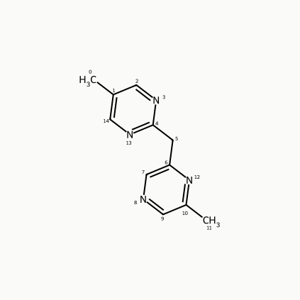 Cc1cnc(Cc2cncc(C)n2)nc1